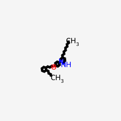 CCCCCCCCCc1ccc(=N)n(-c2ccc(OCCCC3CCCCC3CCCCC)cc2)c1